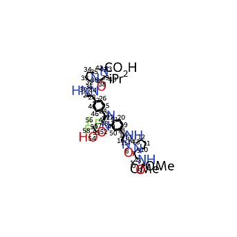 COC[C@H](NC(=O)OC)C(=O)N1CCC[C@H]1c1ncc(-c2ccc3nc(-c4ccc(-c5c[nH]c([C@@H]6CCCN6C(=O)[C@H](C(C)C)N(C)C(=O)O)n5)cc4)cnc3c2)[nH]1.O=C(O)C(F)(F)F